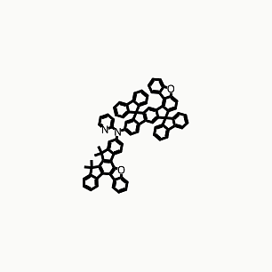 CC1(C)c2cc(N(c3ccc4c(c3)C3(c5ccccc5-c5ccccc53)c3cc5c(cc3-4)C3(c4ccccc4-c4ccccc43)c3ccc4oc6ccccc6c4c3-5)c3ccccn3)ccc2-c2c1c1c(c3c2oc2ccccc23)-c2ccccc2C1(C)C